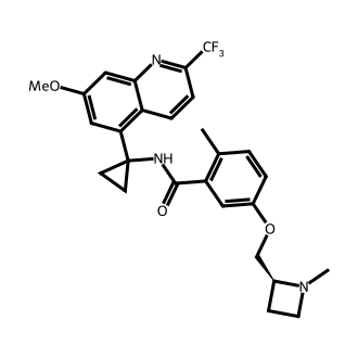 COc1cc(C2(NC(=O)c3cc(OC[C@@H]4CCN4C)ccc3C)CC2)c2ccc(C(F)(F)F)nc2c1